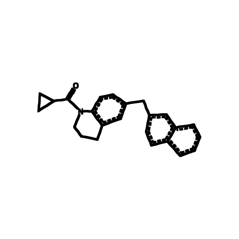 O=C(C1CC1)N1CCCc2cc(Cc3ccc4ccccc4c3)ccc21